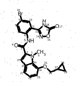 Cn1c(C(=O)Nc2ccc(Br)cc2-c2noc(=O)[nH]2)cc2cccc(OCC3CC3)c21